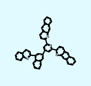 c1ccc2cc3nc(-c4cc(-c5cc(-c6ccc7ccccc7n6)c6ccccc6c5)cc(-c5ccc6cc7ccccc7cc6n5)n4)ccc3cc2c1